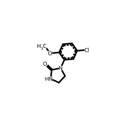 COc1ccc(Cl)cc1N1CCNC1=O